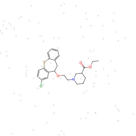 CCOC(=O)C1CCCN(CCOC2Cc3ccccc3Sc3ccc(Cl)cc32)C1